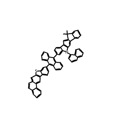 CC1(C)c2ccccc2-c2cc3c(cc21)c1ccc(-c2c4ccccc4c(-c4ccc5c(c4)sc4cc6ccc7ccccc7c6cc45)c4ccccc24)cc1n3-c1cccc2ccccc12